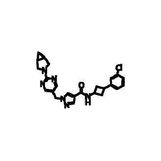 O=C(NC1CC(c2cccc(Cl)c2)C1)c1cnn(Cc2cnc(N3CC4CC4C3)nc2)c1